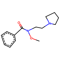 CON(CCN1CCCC1)C(=O)c1ccccc1